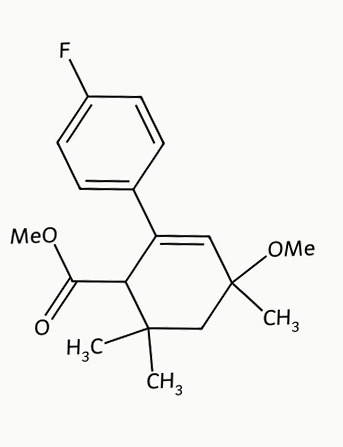 COC(=O)C1C(c2ccc(F)cc2)=CC(C)(OC)CC1(C)C